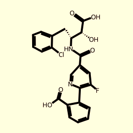 O=C(N[C@H](Cc1ccccc1Cl)[C@@H](O)C(=O)O)c1cnc(-c2ccccc2C(=O)O)c(F)c1